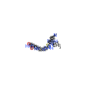 CC(C)Nc1c(-c2nnc(N3CCN(CC4CCN(c5ccc(N6CCC(=O)NC6=O)cn5)CC4)CC3)s2)cnc2c1[nH]c1cc(C#N)ccc12